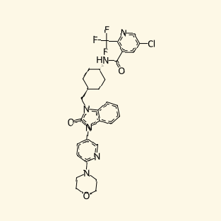 O=C(N[C@H]1CC[C@H](Cn2c(=O)n(-c3ccc(N4CCOCC4)nc3)c3ccccc32)CC1)c1cc(Cl)cnc1C(F)(F)F